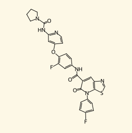 O=C(Nc1ccc(Oc2ccnc(NC(=O)N3CCCC3)c2)c(F)c1)c1cc2ncsc2n(-c2ccc(F)cc2)c1=O